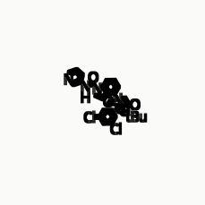 CC(C)(C)OC(=O)CN(c1cccc2c1CCN2C(=O)Nc1cccnc1)S(=O)(=O)c1cc(Cl)cc(Cl)c1